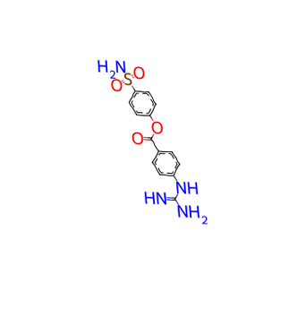 N=C(N)Nc1ccc(C(=O)Oc2ccc(S(N)(=O)=O)cc2)cc1